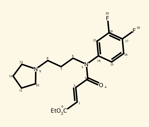 CCOC(=O)/C=C/C(=O)N(CCCN1CCCC1)c1ccc(F)c(F)c1